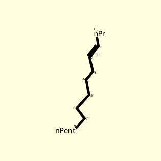 CCC/C=C/CCCCCCCCCC